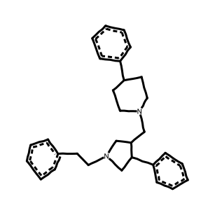 c1ccc(CCN2CC(CN3CCC(c4ccccc4)CC3)C(c3ccccc3)C2)cc1